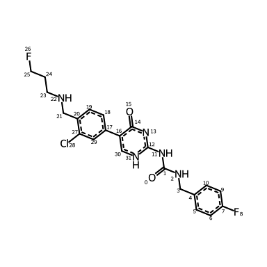 O=C(NCc1ccc(F)cc1)Nc1nc(=O)c(-c2ccc(CNCCCF)c(Cl)c2)c[nH]1